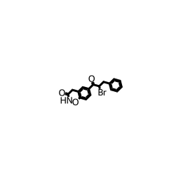 O=C1Cc2cc(C(=O)C(Br)Cc3ccccc3)ccc2ON1